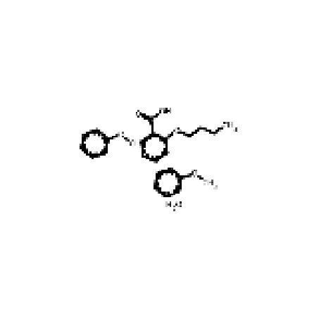 CCCCOc1ccccc1C(=O)O.COc1ccccc1.COc1ccccc1.O